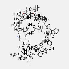 CC(=O)N[C@@H](CC(C)C)C(=O)N[C@H](C(=O)C(=O)[C@H](Cc1ccccc1)NN[C@]1(C)CCCCCC/C=C/CCC[C@@](C)(C(=O)CN[C@@H](C)C(=O)CCN[C@@H](C)C(=O)CCN[C@@H](C)C(=O)CCN[C@@H](C)C(=O)CCN[C@@H](C)C(=O)CN(C)CC(N)=O)NC(=O)[C@H](CC(C)C)NN[C@@H](CCC(N)=O)C(=O)CN[C@@H](C)C(=O)CC(=O)[C@H](Cc2c[nH]c3ccccc23)NN[C@@H](Cc2ccc(O)cc2)C(=O)N[C@@H](CCC(=O)O)C(=O)C1=O)[C@@H](C)O